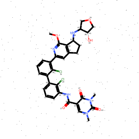 COc1nc(-c2cccc(-c3cccc(NC(=O)c4cn(C)c(=O)n(C)c4=O)c3Cl)c2Cl)cc2c1C(NC1COC[C@@H]1O)CC2